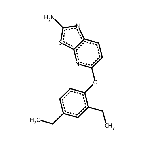 CCc1ccc(Oc2ccc3nc(N)sc3n2)c(CC)c1